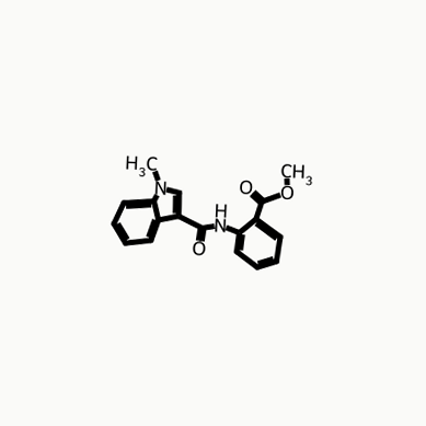 COC(=O)c1ccccc1NC(=O)c1cn(C)c2ccccc12